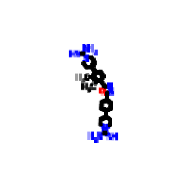 Cc1c(C2=CCN(C(=N)N)CC2)ccc(-c2nnc(-c3ccc(C4=CCN(C(=N)N)CC4)cc3)o2)c1C